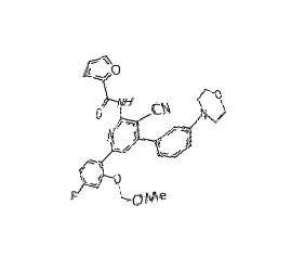 COCOc1cc(F)ccc1-c1cc(-c2cccc(N3CCOCC3)c2)c(C#N)c(NC(=O)c2ccco2)n1